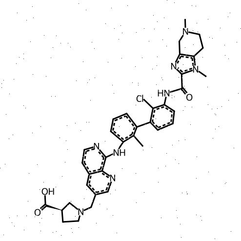 Cc1c(Nc2nccc3cc(CN4CC[C@@H](C(=O)O)C4)cnc23)cccc1-c1cccc(NC(=O)c2nc3c(n2C)CCN(C)C3)c1Cl